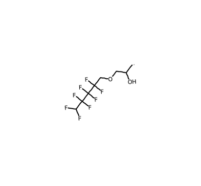 [CH2]C(O)COCC(F)(F)C(F)(F)C(F)(F)C(F)F